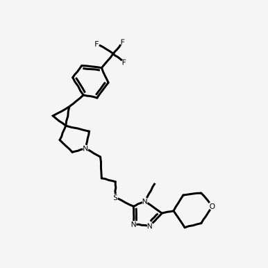 Cn1c(SCCCN2CCC3(CC3c3ccc(C(F)(F)F)cc3)C2)nnc1C1CCOCC1